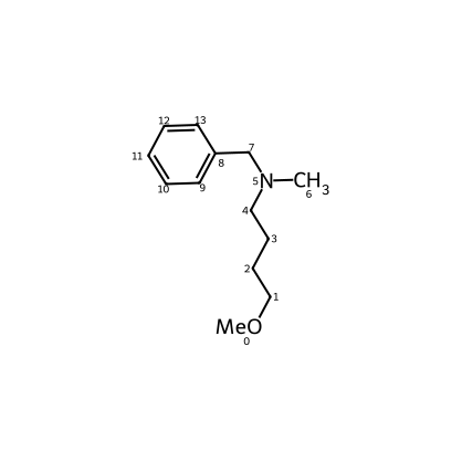 [CH2]OCCCCN(C)Cc1ccccc1